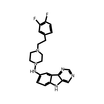 Fc1ccc(CCN2CCN(Nc3ccc4[nH]c5cncnc5c4c3)CC2)cc1F